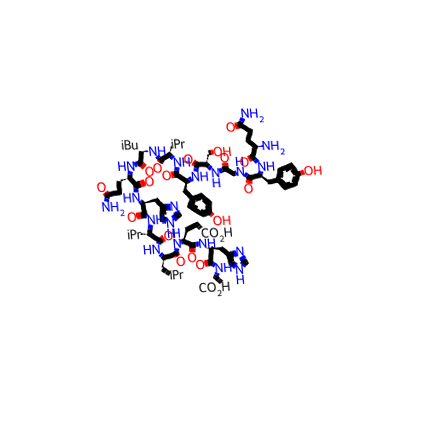 CC[C@H](C)[C@H](NC(=O)[C@@H](NC(=O)[C@H](Cc1ccc(O)cc1)NC(=O)[C@H](CO)NC(=O)CNC(=O)[C@H](Cc1ccc(O)cc1)NC(=O)[C@@H](N)CCC(N)=O)C(C)C)C(=O)N[C@@H](CCC(N)=O)C(=O)N[C@@H](Cc1c[nH]cn1)C(=O)N[C@H](C(=O)N[C@@H](CC(C)C)C(=O)N[C@@H](CCC(=O)O)C(=O)N[C@@H](Cc1c[nH]cn1)C(=O)NCC(=O)O)C(C)C